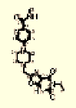 CCn1c(=O)[nH]c2oc(CN3CCN(c4ccc(C(=O)NC)nc4)CC3)nc2c1=O